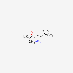 CC(C)CC[C@H](N)C(=O)C(C)C